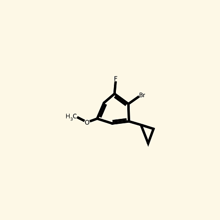 COc1cc(F)c(Br)c(C2CC2)c1